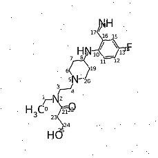 CCN(CCN1CCC(Nc2ccc(F)cc2C=N)CC1)C(=O)CCO